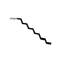 [C]=CC=CCCCCCCCCCCCCCC